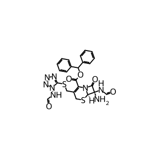 N[C@]1(NC=O)C(=O)N2C(C(=O)OC(c3ccccc3)c3ccccc3)=C(CSc3nnnn3NC=O)CS[C@@H]21